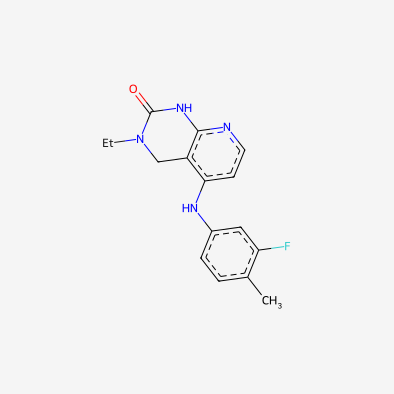 CCN1Cc2c(Nc3ccc(C)c(F)c3)ccnc2NC1=O